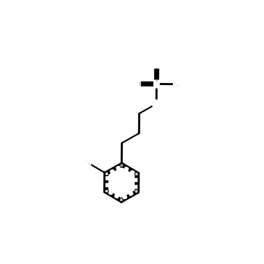 NS(=O)(=O)OCCCc1ccccc1[N+](=O)[O-]